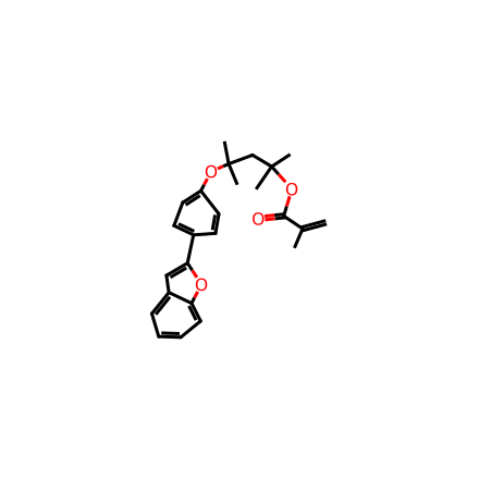 C=C(C)C(=O)OC(C)(C)CC(C)(C)Oc1ccc(-c2cc3ccccc3o2)cc1